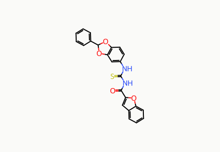 O=C(NC(=S)Nc1ccc2c(c1)OC(c1ccccc1)O2)c1cc2ccccc2o1